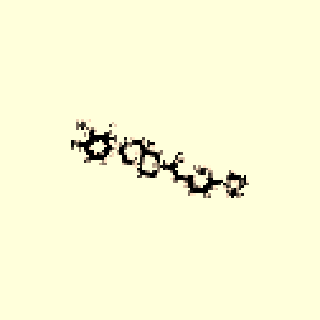 Cc1c([C@H]2CN3CCN(C(=O)Cc4ccc(-n5cnnn5)nn4)C[C@H]3CO2)ccc(F)c1C#N